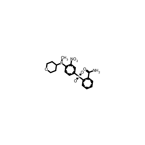 CN(c1ccc(S(=O)(=O)c2ccccc2C(N)=O)cc1[N+](=O)[O-])C1CCOCC1